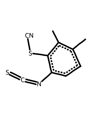 Cc1ccc(N=C=S)c(SC#N)c1C